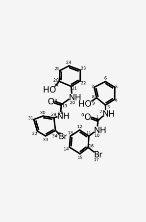 O=C(Nc1ccccc1O)Nc1ccccc1Br.O=C(Nc1ccccc1O)Nc1ccccc1Br